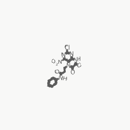 O=C(CCn1c(=O)c(=O)[nH]c2nc(Cl)nc([N+](=O)[O-])c21)Nc1ccccc1